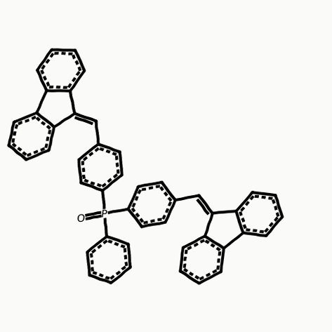 O=P(c1ccccc1)(c1ccc(C=C2c3ccccc3-c3ccccc32)cc1)c1ccc(C=C2c3ccccc3-c3ccccc32)cc1